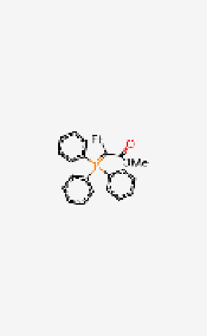 CCC(C(=O)OC)=P(c1ccccc1)(c1ccccc1)c1ccccc1